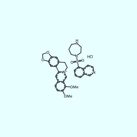 COc1ccc2cc3[n+](cc2c1OC)CCc1cc2c(cc1-3)OCO2.Cl.O=S(=O)(c1cccc2cnccc12)N1CCCNCC1